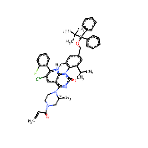 C=CC(=O)N1CCN(c2nc(=O)n(-c3c(C)cc(CO[Si](c4ccccc4)(c4ccccc4)C(C)(C)C)cc3C(C)C)c3nc(-c4ccccc4F)c(Cl)cc23)[C@@H](C)C1